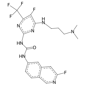 CN(C)CCCNc1nc(NC(=O)Nc2ccc3cnc(F)cc3c2)nc(C(F)(F)F)c1F